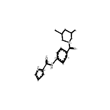 CC1CC(C)CN(C(=O)c2ccc(NC(=O)c3cccs3)cc2)C1